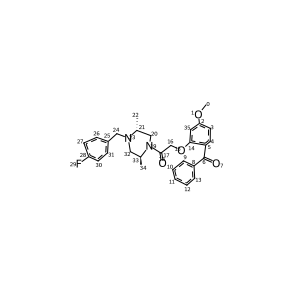 COc1ccc(C(=O)c2ccccc2)c(OCC(=O)N2C[C@@H](C)N(Cc3ccc(F)cc3)C[C@@H]2C)c1